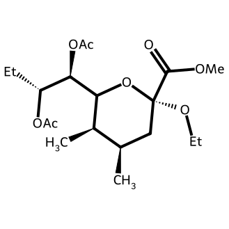 CCO[C@]1(C(=O)OC)C[C@@H](C)[C@@H](C)C([C@H](OC(C)=O)[C@@H](CC)OC(C)=O)O1